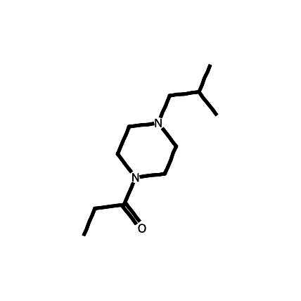 CCC(=O)N1CCN(CC(C)C)CC1